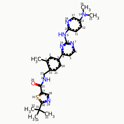 Cc1cc(-c2ccnc(Nc3ccc(N(C)C)cn3)n2)ccc1CNC(=O)c1cnc(C(C)(C)C)s1